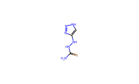 NC(=S)NNc1c[nH]nn1